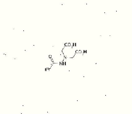 CC(C)C(=O)NN(CC(=O)O)CC(=O)O